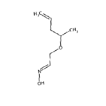 C=CCC(C)OC/C=N/O